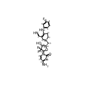 N=CC1=C(Nc2cccc(F)c2)CCN(C[C@H]2O[C@@H](n3ccc(N)nc3=O)C(F)(F)[C@@H]2O)C1